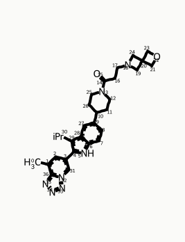 Cc1cc(-c2[nH]c3ccc(C4CCN(C(=O)CCN5CC6(COC6)C5)CC4)cc3c2C(C)C)cn2nnnc12